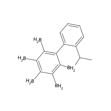 Bc1c(B)c(B)c(-c2ccccc2C(C)C)c(B)c1B